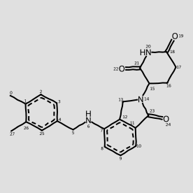 Cc1ccc(CNc2cccc3c2CN(C2CCC(=O)NC2=O)C3=O)cc1C